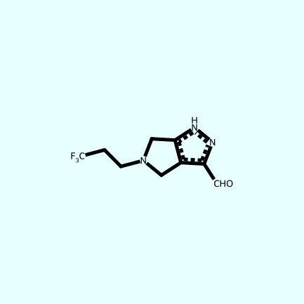 O=Cc1n[nH]c2c1CN(CCC(F)(F)F)C2